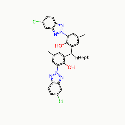 CCCCCCCC(c1cc(C)cc(-n2nc3ccc(Cl)cc3n2)c1O)c1cc(C)cc(-n2nc3ccc(Cl)cc3n2)c1O